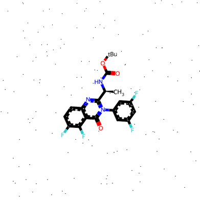 C[C@H](NC(=O)OC(C)(C)C)c1nc2ccc(F)c(F)c2c(=O)n1-c1cc(F)cc(F)c1